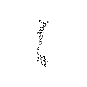 N#Cc1ncc(N2CCC(F)(C(=O)Nc3ccc(N4CCC(CCN5CCN(c6ccc7c(c6)C(=O)N(C6CCC(=O)NC6=O)C7=O)CC5)CC4)cn3)CC2)cc1C(F)(F)F